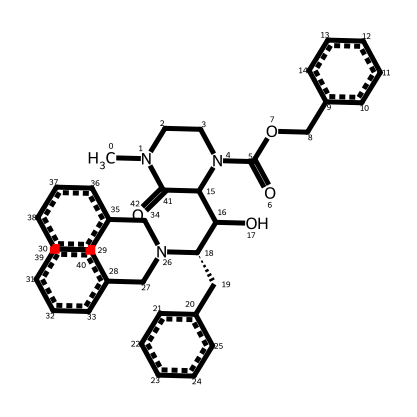 CN1CCN(C(=O)OCc2ccccc2)C(C(O)[C@H](Cc2ccccc2)N(Cc2ccccc2)Cc2ccccc2)C1=O